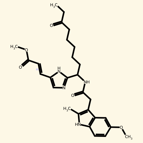 CCC(=O)CCCCCC(NC(=O)Cc1c(C)[nH]c2ccc(OC)cc12)c1ncc(/C=C/C(=O)OC)[nH]1